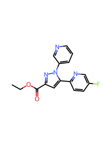 CCOC(=O)c1cc(-c2ccc(F)cn2)n(-c2cccnc2)n1